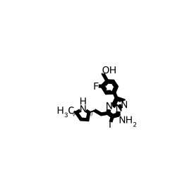 C[C@@H]1CC[C@H](CCc2nc3c(-c4ccc(CO)c(F)c4)cnn3c(N)c2I)N1